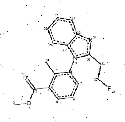 COC(=O)c1cccc(-n2c(CCF)nc3ccccc32)c1C